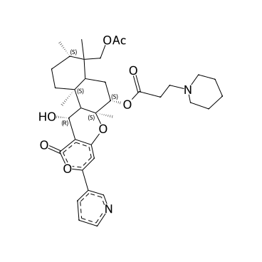 CC(=O)OCC1(C)C2C[C@H](OC(=O)CCN3CCCCC3)[C@@]3(C)Oc4cc(-c5cccnc5)oc(=O)c4[C@H](O)C3[C@@]2(C)CC[C@@H]1C